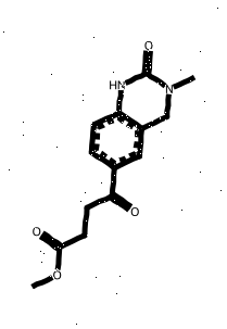 COC(=O)CCC(=O)c1ccc2c(c1)CN(C)C(=O)N2